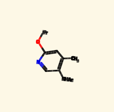 CC(=O)Nc1cnc(OC(C)C)cc1C